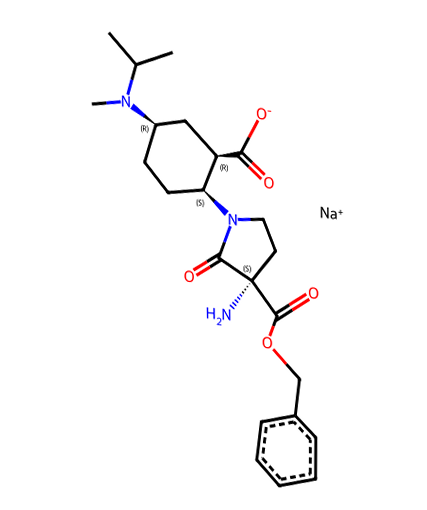 CC(C)N(C)[C@@H]1CC[C@H](N2CC[C@@](N)(C(=O)OCc3ccccc3)C2=O)[C@H](C(=O)[O-])C1.[Na+]